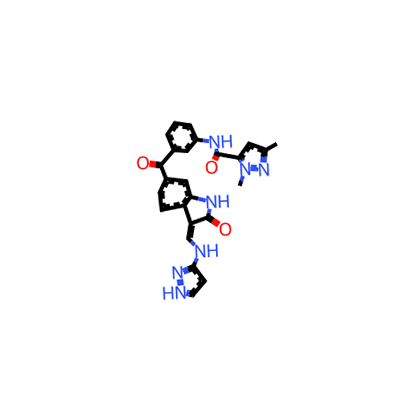 Cc1cc(C(=O)Nc2cccc(C(=O)c3ccc4c(c3)NC(=O)C4=CNc3cc[nH]n3)c2)n(C)n1